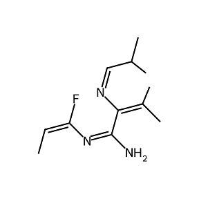 C/C=C(F)\N=C(\N)C(/N=C\C(C)C)=C(C)C